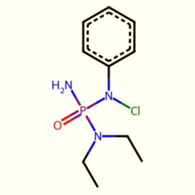 CCN(CC)P(N)(=O)N(Cl)c1ccccc1